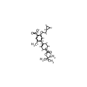 Cc1cc([N+](=O)[O-])c(OCC2CC2)cc1C1=CCN(C(=O)OC(C)(C)C)CC1